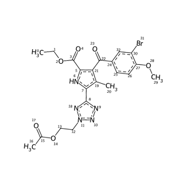 CCOC(=O)c1[nH]c(-c2nnn(CCOC(C)=O)n2)c(C)c1C(=O)c1ccc(OC)c(Br)c1